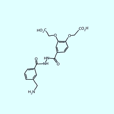 NCc1cccc(C(=O)NNC(=O)c2ccc(OCC(=O)O)c(OCC(=O)O)c2)c1